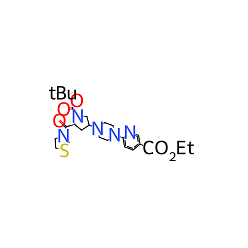 CCOC(=O)c1ccc(N2CCN([C@H]3C[C@@H](C(=O)N4CCSC4)N(C(=O)OC(C)(C)C)C3)CC2)nc1